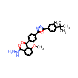 COc1cccc(C(=O)NN)c1C(=O)c1ccc(-c2nnc(-c3ccc(C(C)(C)C)cc3)o2)cc1